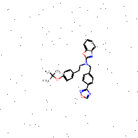 CC(C)(Oc1ccc(CCN(Cc2ccc(-c3ncon3)cc2)c2nc3ccccc3o2)cc1)C(=O)O